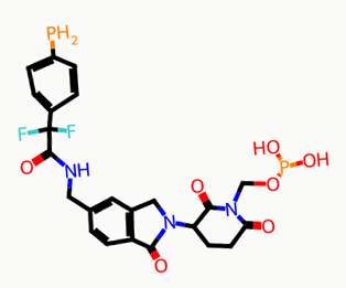 O=C1CCC(N2Cc3cc(CNC(=O)C(F)(F)c4ccc(P)cc4)ccc3C2=O)C(=O)N1COP(O)O